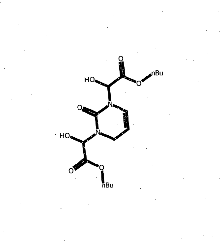 CCCCOC(=O)C(O)N1C=CCN(C(O)C(=O)OCCCC)C1=O